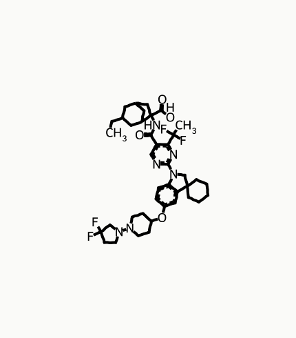 CCC1CC2CC(C1)C(NC(=O)c1cnc(N3CC4(CCCCC4)c4cc(OC5CCN(N6CCC(F)(F)C6)CC5)ccc43)nc1C(C)(F)F)(C(=O)O)C2